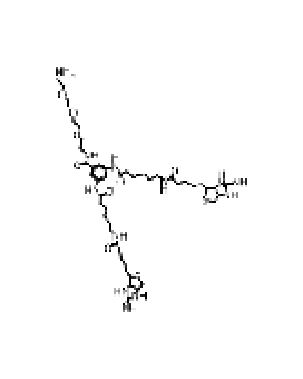 N=C1NC2CSC(CCCCC(=O)NCCCCCC(=O)Nc3cc(NC(=O)CCCCCNC(=O)CCCCC4SCC5NC(=N)NC54)cc(C(=O)NCCOCCOCCOCCN)c3)C2N1